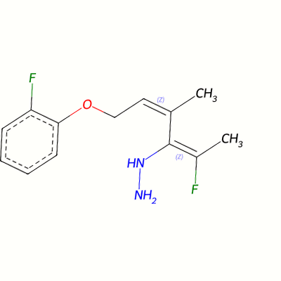 CC(=C/COc1ccccc1F)/C(NN)=C(\C)F